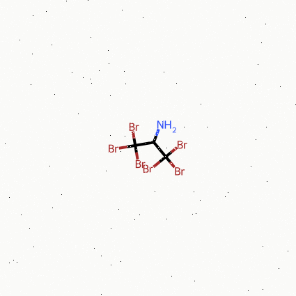 NC(C(Br)(Br)Br)C(Br)(Br)Br